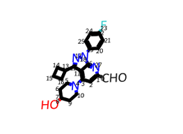 O=Cc1cc(N2CCC(O)CC2)c2c(C3CCC3)nn(-c3ccc(F)cc3)c2n1